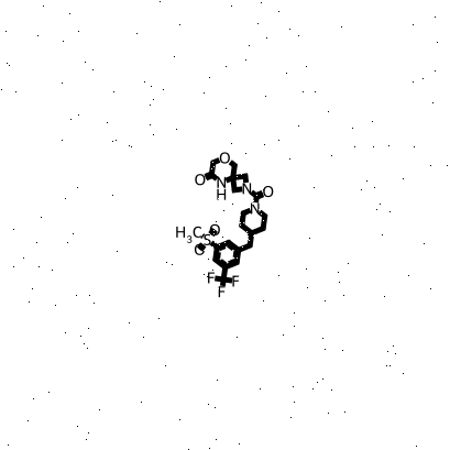 CS(=O)(=O)c1cc(CC2CCN(C(=O)N3CC4(COCC(=O)N4)C3)CC2)cc(C(F)(F)F)c1